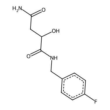 NC(=O)CC(O)C(=O)NCc1ccc(F)cc1